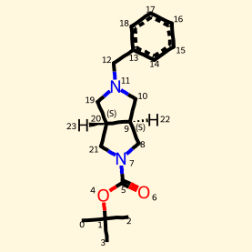 CC(C)(C)OC(=O)N1C[C@@H]2CN(Cc3ccccc3)C[C@H]2C1